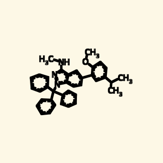 CNc1nn(C(c2ccccc2)(c2ccccc2)c2ccccc2)c2ccc(-c3cc(C(C)C)ccc3OC)cc12